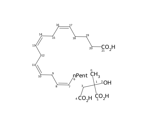 CC(O)(CC(=O)O)C(=O)O.CCCCC/C=C\C/C=C\C/C=C\C/C=C\CCCC(=O)O